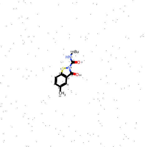 CCCCNC(=O)n1sc2ccc(C)cc2c1=O